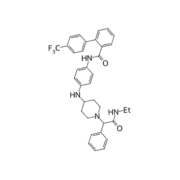 CCNC(=O)C(c1ccccc1)N1CCC(Nc2ccc(NC(=O)c3ccccc3-c3ccc(C(F)(F)F)cc3)cc2)CC1